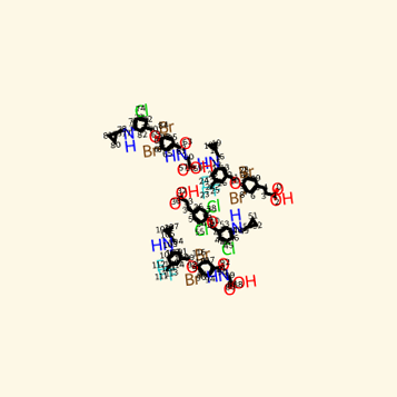 O=C(O)CCc1cc(Br)c(OCc2cc(NCC3CC3)cc(C(F)(F)F)c2)c(Br)c1.O=C(O)CCc1cc(Cl)c(OCc2cc(Cl)cc(NCC3CC3)c2)c(Cl)c1.O=C(O)CNC(=O)c1cc(Br)c(OCc2cc(Cl)cc(NCC3CC3)c2)c(Br)c1.O=C(O)CNC(=O)c1cc(Br)c(OCc2cc(NCC3CC3)cc(C(F)(F)F)c2)c(Br)c1